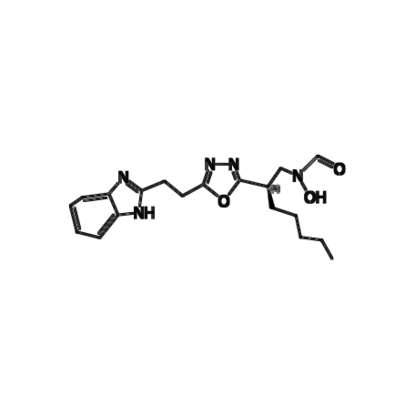 CCCCC[C@H](CN(O)C=O)c1nnc(CCc2nc3ccccc3[nH]2)o1